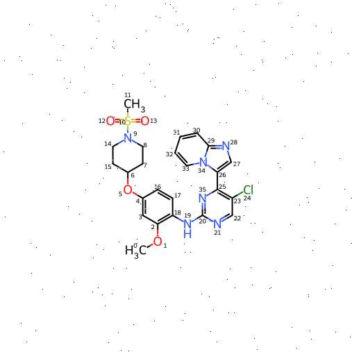 COc1cc(OC2CCN(S(C)(=O)=O)CC2)ccc1Nc1ncc(Cl)c(-c2cnc3ccccn23)n1